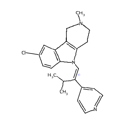 CC(C)/C(=C\n1c2c(c3cc(Cl)ccc31)CN(C)CC2)c1ccncc1